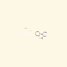 Cn1c(=O)c2cnccc2c2ccc(OCC(N)CC(C)(F)F)cc21